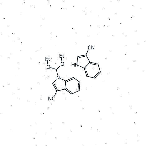 CCOC(OCC)n1cc(C#N)c2ccccc21.N#Cc1c[nH]c2ccccc12